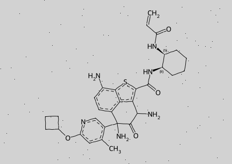 C=CC(=O)N[C@H]1CCCC[C@H]1NC(=O)c1sc2c(N)ccc3c2c1C(N)C(=O)C3(N)c1cnc(OC2CCC2)cc1C